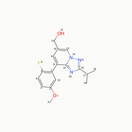 COc1ccc(F)c(-c2cc(CO)cn3nc(C(C)C)nc23)c1